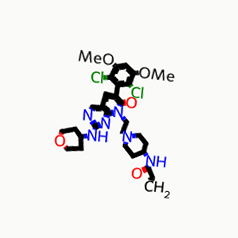 C=CC(=O)NC1CCN(CCn2c(=O)c(-c3c(Cl)c(OC)cc(OC)c3Cl)cc3cnc(NC4CCOCC4)nc32)CC1